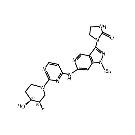 CCC(C)n1nc(N2CCNC2=O)c2cnc(Nc3ccnc(N4CC[C@H](O)[C@H](F)C4)n3)cc21